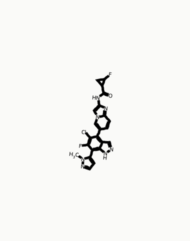 Cn1nccc1-c1c(F)c(Cl)c(-c2ccc3nc(NC(=O)C4CC4F)cn3c2)c2cn[nH]c12